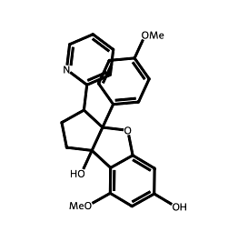 COc1ccc(C23Oc4cc(O)cc(OC)c4C2(O)CCC3c2ccccn2)cc1